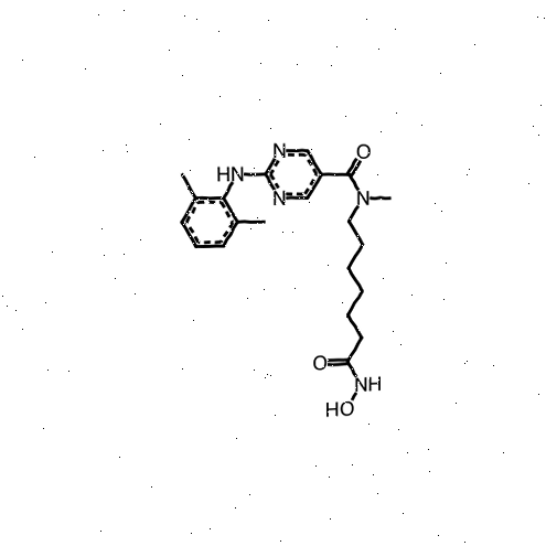 Cc1cccc(C)c1Nc1ncc(C(=O)N(C)CCCCCCC(=O)NO)cn1